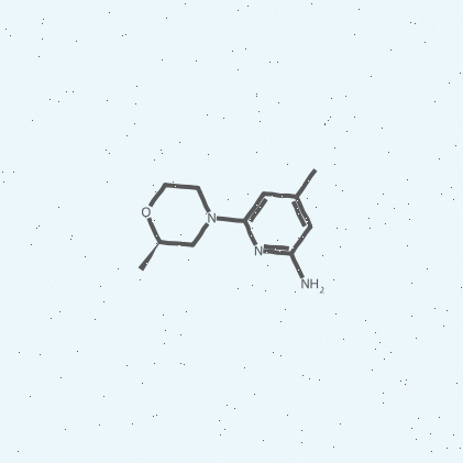 Cc1cc(N)nc(N2CCO[C@H](C)C2)c1